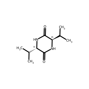 CC(C)[C@@H]1NC(=O)[C@@H](C(C)C)NC1=O